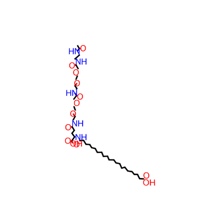 CC(=O)NCCNC(=O)COCCOCCNC(=O)COCCOCCNC(=O)CCC(NC(=O)CCCCCCCCCCCCCCCCCCCCC(=O)O)C(=O)O